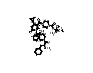 CC(CC1CCCCC1)C(=O)N1CCC(O)(Cn2cc(C(=O)N3CCN(C(=O)OC(C)(C)C)CC3)c(C3CC3)cc2=O)C2(CCCC2)C1